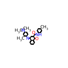 Cc1ccc(NC(=O)C2=CC(=Nc3ccc(N(C)C)cc3C)c3ccccc3C2=O)cc1